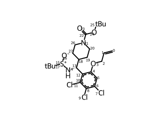 C=CCOc1cc(Cl)c(Cl)c(Cl)c1[C@H](N[S+]([O-])C(C)(C)C)C1CCN(C(=O)OC(C)(C)C)CC1